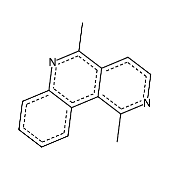 Cc1nc2ccccc2c2c(C)nccc12